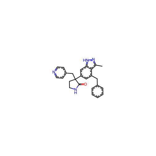 Cc1n[nH]c2cc(C3(Cc4ccncc4)CCNC3=O)cc(Cc3ccccc3)c12